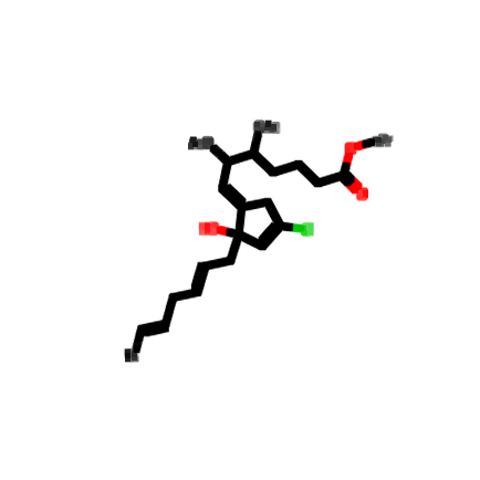 CCC=CCC=CCC1(O)C=C(Cl)CC1=CC(OC(C)=O)C(CCCC(=O)OCCC)OC(C)=O